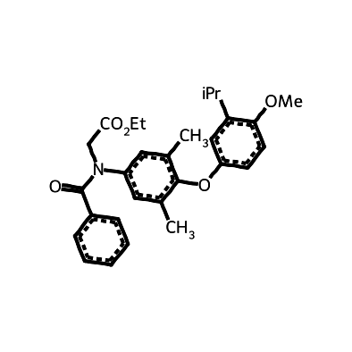 CCOC(=O)CN(C(=O)c1ccccc1)c1cc(C)c(Oc2ccc(OC)c(C(C)C)c2)c(C)c1